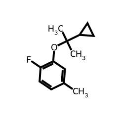 Cc1ccc(F)c(OC(C)(C)C2CC2)c1